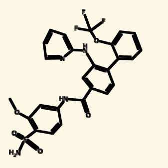 COc1cc(NC(=O)c2ccc(-c3ccccc3OC(F)(F)F)c(Nc3ccccn3)c2)ccc1S(N)(=O)=O